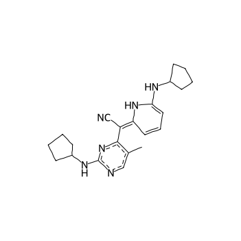 Cc1cnc(NC2CCCC2)nc1C(C#N)=C1C=CC=C(NC2CCCC2)N1